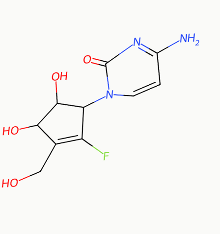 Nc1ccn(C2C(F)=C(CO)C(O)C2O)c(=O)n1